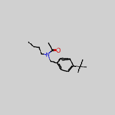 CCCCN(Cc1ccc(C(C)(C)C)cc1)C(C)=O